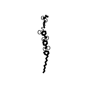 C=C(C)C(=O)OCCCCSc1ccc(C(=O)Oc2ccc(C(=O)Oc3ccc(CCCCCCCCCC)cc3)cc2)cc1OC